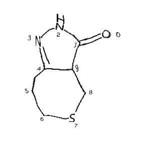 O=C1NN=C2CCSCC12